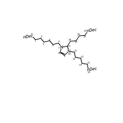 CCCCCCCCCCCCCCCCN1C=CN(CCCCCCCCCCCCCCC)C1CCCCCCCCCCCCCC